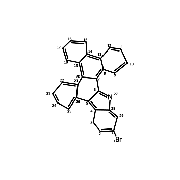 BrC1=CCC2=c3c(c4c5ccccc5c5ccccc5c4c4ccccc34)=NC2=C1